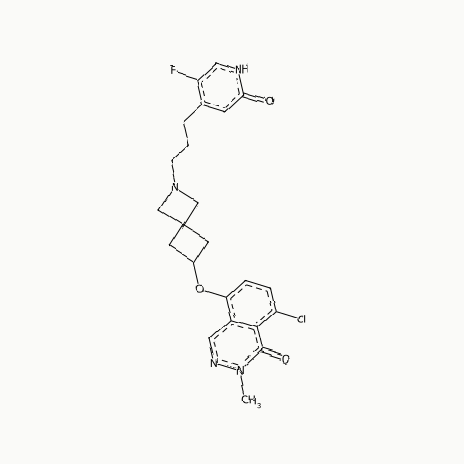 Cn1ncc2c(OC3CC4(C3)CN(CCCc3cc(=O)[nH]cc3F)C4)ccc(Cl)c2c1=O